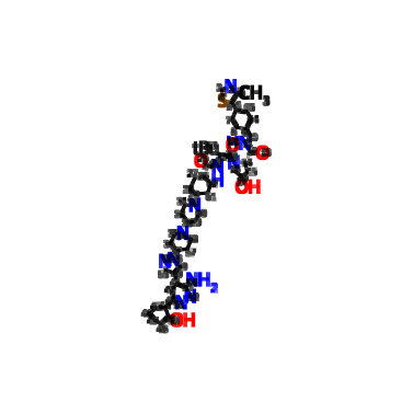 Cc1ncsc1-c1ccc(CNC(=O)[C@@H]2C[C@@H](O)CN2C(=O)[C@@H](NC(=O)[C@H]2CC[C@@H](N3CCC(N4CCC(n5cc(-c6cc(-c7ccccc7O)nnc6N)cn5)CC4)CC3)CC2)C(C)(C)C)cc1